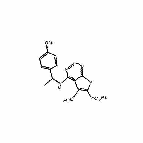 CCOC(=O)c1sc2ncnc(NC(C)c3ccc(OC)cc3)c2c1OC